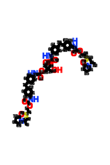 CC(CSCCOC(=O)Nc1ccc(Cc2ccc(NC(=O)OCC(CO)(CO)COC(=O)Nc3ccc(Cc4ccc(NC(=O)OCCSCC(C)N5CCCC5=O)cc4)cc3)cc2)cc1)N1CCCC1=O